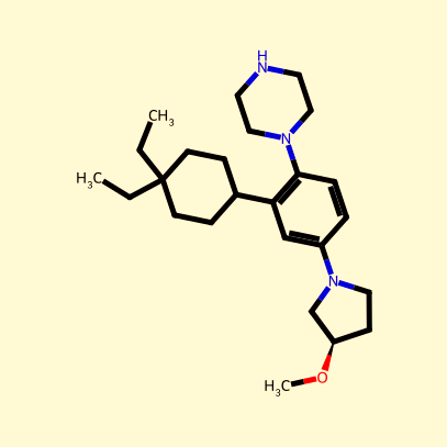 CCC1(CC)CCC(c2cc(N3CC[C@@H](OC)C3)ccc2N2CCNCC2)CC1